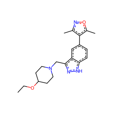 CCOC1CCN(Cc2n[nH]c3ccc(-c4c(C)noc4C)cc23)CC1